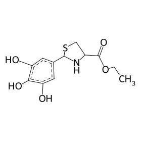 CCOC(=O)C1CSC(c2cc(O)c(O)c(O)c2)N1